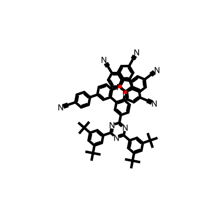 CC(C)(C)c1cc(-c2nc(-c3cc(C(C)(C)C)cc(C(C)(C)C)c3)nc(-c3ccc(-n4c5ccc(C#N)cc5c5cc(C#N)ccc54)c(-c4cc(-c5ccc(C#N)cc5)ccc4-n4c5ccc(C#N)cc5c5cc(C#N)ccc54)c3)n2)cc(C(C)(C)C)c1